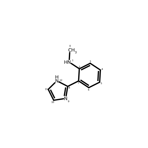 CNc1ccccc1-c1ncc[nH]1